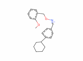 COc1ccccc1CO/N=[C]\c1ccc(C2CCCCC2)cc1